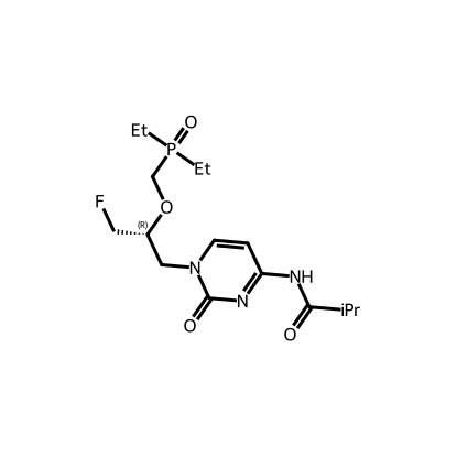 CCP(=O)(CC)CO[C@@H](CF)Cn1ccc(NC(=O)C(C)C)nc1=O